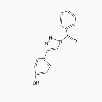 O=C(c1ccccc1)n1cc(-c2ccc(O)cc2)nn1